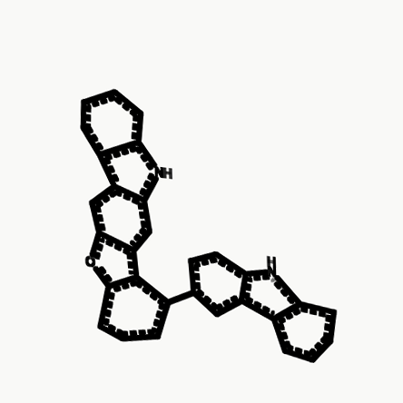 c1ccc2c(c1)[nH]c1ccc(-c3cccc4oc5cc6c(cc5c34)[nH]c3ccccc36)cc12